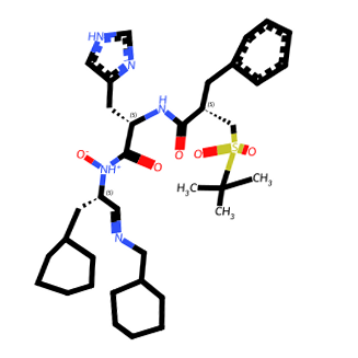 CC(C)(C)S(=O)(=O)C[C@@H](Cc1ccccc1)C(=O)N[C@@H](Cc1c[nH]cn1)C(=O)[NH+]([O-])[C@H](C=NCC1CCCCC1)CC1CCCCC1